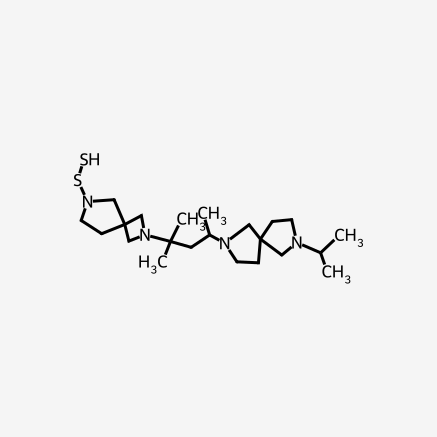 CC(C)N1CCC2(CCN(C(C)CC(C)(C)N3CC4(CCN(SS)C4)C3)C2)C1